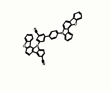 N#Cc1cc(-c2ccc(-n3c4ccccc4c4c5oc6ccccc6c5ccc43)cc2)cc(-n2c3ccc(C#N)cc3c3ccc4oc5ccccc5c4c32)c1